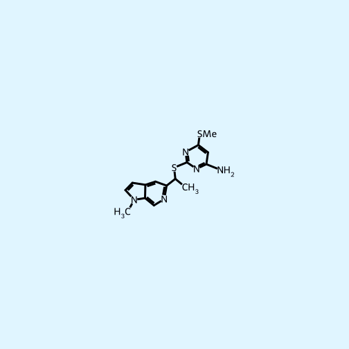 CSc1cc(N)nc(SC(C)c2cc3ccn(C)c3cn2)n1